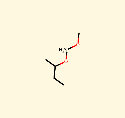 CCC(C)O[SiH2]OC